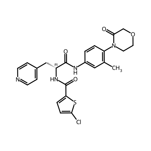 Cc1cc(NC(=O)[C@@H](Cc2ccncc2)NC(=O)c2ccc(Cl)s2)ccc1N1CCOCC1=O